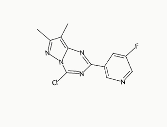 Cc1nn2c(Cl)nc(-c3cncc(F)c3)nc2c1C